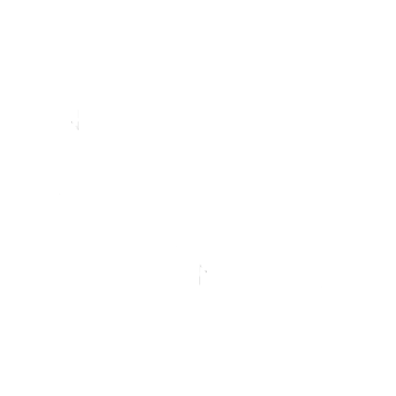 c1ccc2cc(Nc3ccc([C@H]4CNCCO4)cc3)ccc2c1